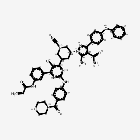 C=CC(=O)Nc1cccc(-c2nc(Nc3ccc(C(=O)N4CCOCC4)cc3)nc(C3C[C@@H](n4nc(-c5ccc(Oc6ccccc6)cc5)c(C(N)=O)c4N)CN(C#N)C3)c2Cl)c1